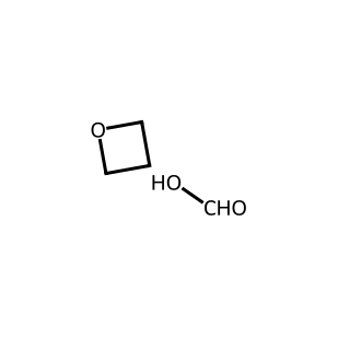 C1COC1.O=CO